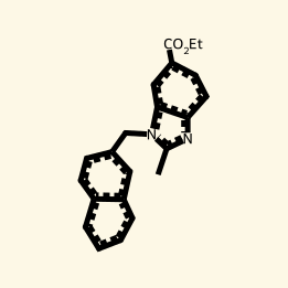 CCOC(=O)c1ccc2nc(C)n(Cc3ccc4ccccc4c3)c2c1